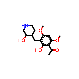 COc1cc(OC)c(C(C)=O)c(O)c1CC1CCNCC1O